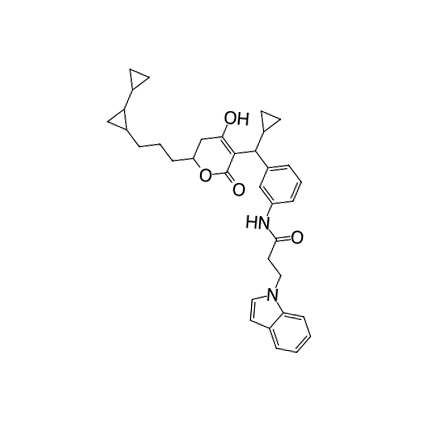 O=C(CCn1ccc2ccccc21)Nc1cccc(C(C2=C(O)CC(CCCC3CC3C3CC3)OC2=O)C2CC2)c1